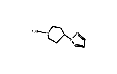 CC(C)(C)N1CCC(n2nccn2)CC1